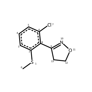 CSc1cccc(Cl)c1C1=NOCC1